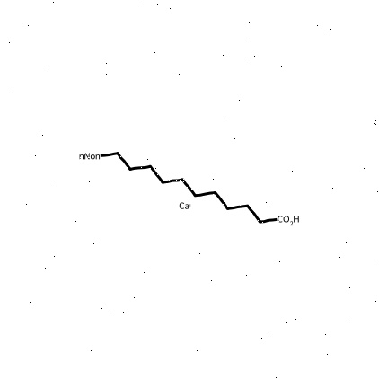 CCCCCCCCCCCCCCCCCCCC(=O)O.[Ca]